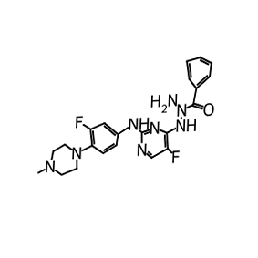 CN1CCN(c2ccc(Nc3ncc(F)c(NN(N)C(=O)c4ccccc4)n3)cc2F)CC1